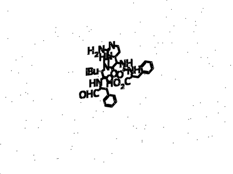 CCC(C)[C@H](NC(=O)C(NC(=O)N[C@@H](Cc1ccccc1)C(=O)O)[C@@H]1CCN=C(N)N1)C(=O)NC(C=O)Cc1ccccc1